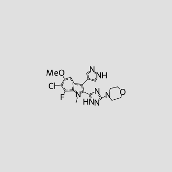 COc1cc2c(-c3cn[nH]c3)c(-c3nc(N4CCOCC4)n[nH]3)n(C)c2c(F)c1Cl